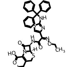 CCO/N=C(\C(=O)N[C@@H]1C(=O)N2C(C(=O)O)=C(CI)CS[C@H]12)c1csc(NC(c2ccccc2)(c2ccccc2)c2ccccc2)n1